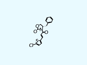 O=C(/C=C/c1ccc(Cl)s1)N1C(=O)OC[C@@H]1Cc1ccccc1